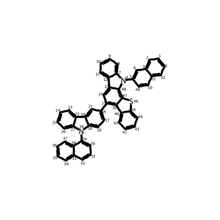 c1ccc2cc(-n3c4ccccc4c4cc(-c5ccc6c(c5)c5ccccc5n6-c5cccc6ccccc56)c5c6ccccc6sc5c43)ccc2c1